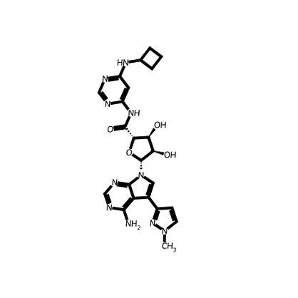 Cn1ccc(-c2cn([C@@H]3O[C@H](C(=O)Nc4cc(NC5CCC5)ncn4)[C@@H](O)[C@H]3O)c3ncnc(N)c23)n1